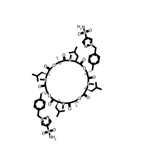 CC(C)CC1C(=O)O[C@H](Cc2ccc(Cn3cc(S(N)(=O)=O)cn3)cc2)C(=O)N(C)[C@@H](CC(C)C)C(=O)O[C@H](C)C(=O)N(C)[C@@H](CC(C)C)C(=O)O[C@H](Cc2ccc(Cn3cc(S(N)(=O)=O)cn3)cc2)C(=O)N(C)[C@@H](CC(C)C)C(=O)O[C@H](C)C(=O)N1C